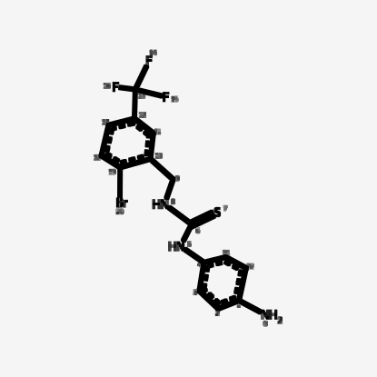 Nc1ccc(NC(=S)NCc2cc(C(F)(F)F)ccc2Br)cc1